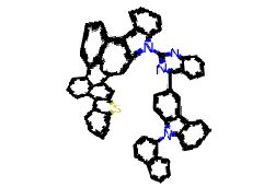 c1ccc2c(-n3c4ccccc4c4cc(-c5nc(-n6c7ccccc7c7c8cccc9c%10cccc%11c%12c(cc(c(cc76)c98)c%10%11)sc6ccccc6%12)nc6ccccc56)ccc43)cccc2c1